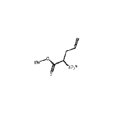 C=CCC(C(=O)OC(C)(C)C)S(=O)(=O)O